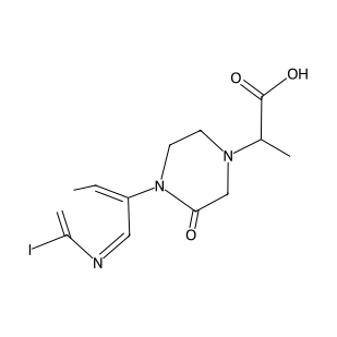 C=C(I)/N=C\C(=C/C)N1CCN(C(C)C(=O)O)CC1=O